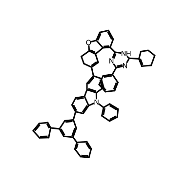 C1=C(c2ccc3c(c2)c2ccc(-c4cc(-c5ccccc5)cc(-c5ccccc5)c4)cc2n3-c2ccccc2)CCc2oc3cccc(C4=NC(c5ccccc5)=NC(C5=CCCCC5)N4)c3c21